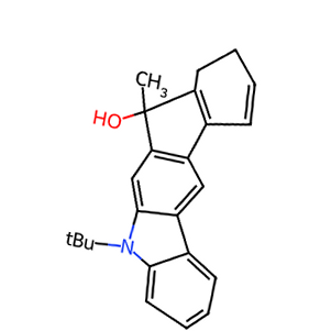 CC1(O)C2=C(C=CCC2)c2cc3c4ccccc4n(C(C)(C)C)c3cc21